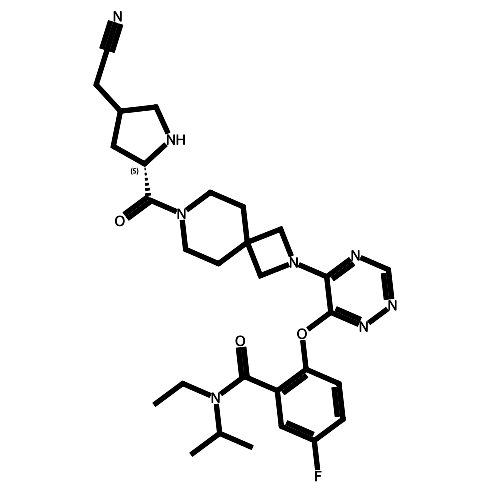 CCN(C(=O)c1cc(F)ccc1Oc1nncnc1N1CC2(CCN(C(=O)[C@@H]3CC(CC#N)CN3)CC2)C1)C(C)C